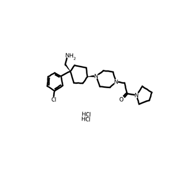 Cl.Cl.NC[C@]1(c2cccc(Cl)c2)CC[C@H](N2CCN(CC(=O)N3CCCC3)CC2)CC1